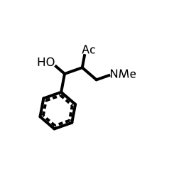 CNCC(C(C)=O)C(O)c1ccccc1